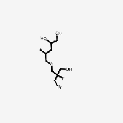 CC(C)CC(F)(CO)COCC(C)CC(O)CO